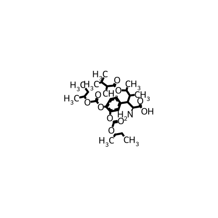 CCC(C)OC(=O)Oc1ccc(C(C(C)C(C)OC(=O)C(C)C(C)C)[C@H](N)C(=O)O)cc1OC(=O)OC(C)CC